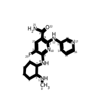 CNC1CCCCC1Nc1nc(Nc2cccnc2)c(C(N)=O)cc1F